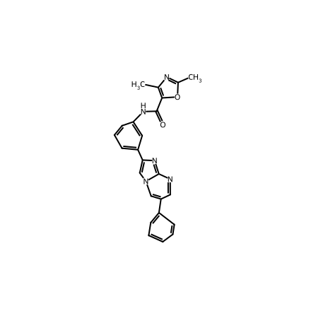 Cc1nc(C)c(C(=O)Nc2cccc(-c3cn4cc(-c5ccccc5)cnc4n3)c2)o1